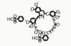 COc1cc2c(cc1OC)[C@H]1Cc3ccc(OC)c(OC)c3CCC(=O)OCCCCCOC(=O)CCc3c(ccc(OC)c3OC)CC(C2)N1C.O=S(=O)(O)c1ccccc1.O=S(=O)(O)c1ccccc1